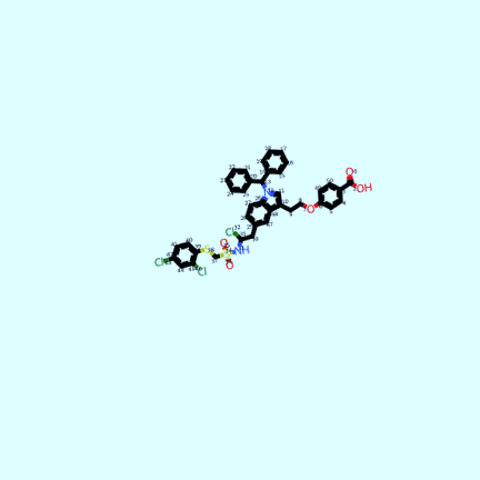 O=C(O)c1ccc(OCCc2cn(C(c3ccccc3)c3ccccc3)c3ccc(CC(Cl)NS(=O)(=O)CSc4ccc(Cl)cc4Cl)cc23)cc1